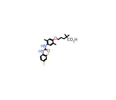 Cc1cc(OCCCC(C)(C)C(=O)O)c(C)cc1NC(=O)Nc1ccc(F)cc1F